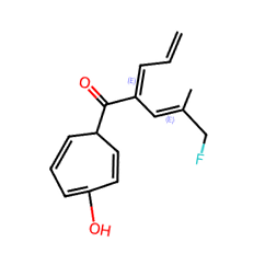 C=C/C=C(\C=C(/C)CF)C(=O)C1C=CC=C(O)C=C1